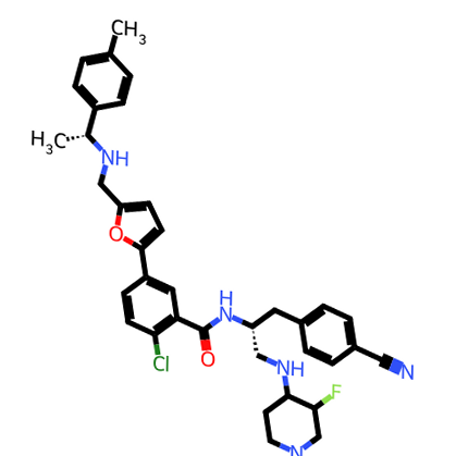 Cc1ccc([C@@H](C)NCc2ccc(-c3ccc(Cl)c(C(=O)N[C@@H](CNC4CCNCC4F)Cc4ccc(C#N)cc4)c3)o2)cc1